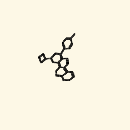 Cc1ccc(C2=c3ccc4c(c3CC(C3CCC3)C2)CC=c2ccccc2=4)cc1